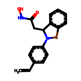 C=Cc1ccc(N2Sc3ccccc3C2CC(=O)NO)cc1